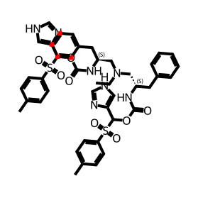 CCN(C[C@H](Cc1ccccc1)NC(=O)OC(c1c[nH]cn1)S(=O)(=O)c1ccc(C)cc1)C[C@H](Cc1ccccc1)NC(=O)OC(c1c[nH]cn1)S(=O)(=O)c1ccc(C)cc1